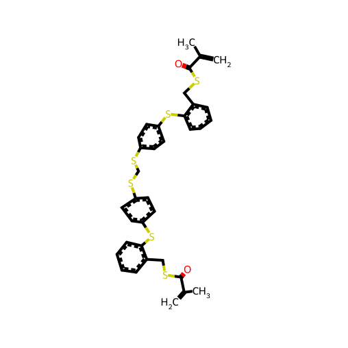 C=C(C)C(=O)SCc1ccccc1Sc1ccc(SCSc2ccc(Sc3ccccc3CSC(=O)C(=C)C)cc2)cc1